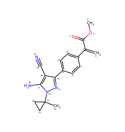 C=C(C(=O)OC)c1ccc(-c2nn(C3(C)CC3)c(N)c2C#N)cc1